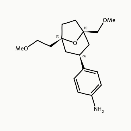 COCC[C@]12CC[C@](COC)(C[C@@H](c3ccc(N)cc3)C1)O2